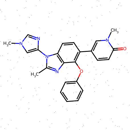 Cc1nc2c(Oc3ccccc3)c(-c3ccc(=O)n(C)c3)ccc2n1-c1cn(C)cn1